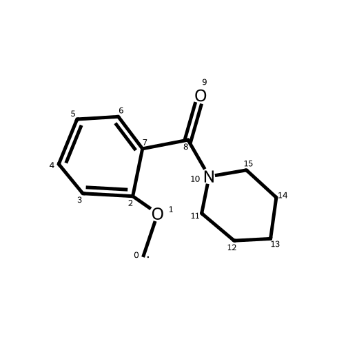 [CH2]Oc1ccccc1C(=O)N1CCCCC1